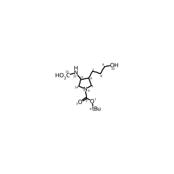 CC(C)(C)OC(=O)N1CC(CCCO)C(NC(=O)O)C1